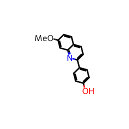 COc1ccc2ccc(-c3ccc(O)cc3)nc2c1